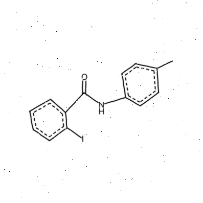 Cc1ccc(NC(=O)c2ccccc2I)cc1